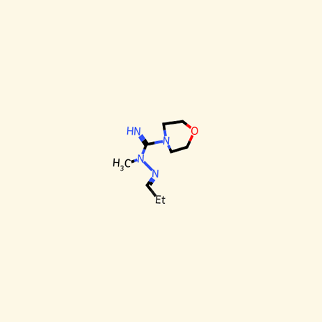 CC/C=N/N(C)C(=N)N1CCOCC1